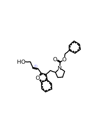 O=C(OCc1ccccc1)N1CCCC1Cc1c(/C=C/CO)oc2ccccc12